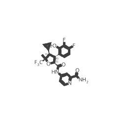 COc1c([C@@H]2[C@@H](C(=O)Nc3ccnc(C(N)=O)c3)O[C@@](C)(C(F)(F)F)[C@H]2C2CC2)ccc(F)c1F